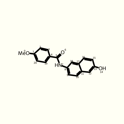 COc1ccc(C(=O)Nc2ccc3cc(O)ccc3c2)cc1